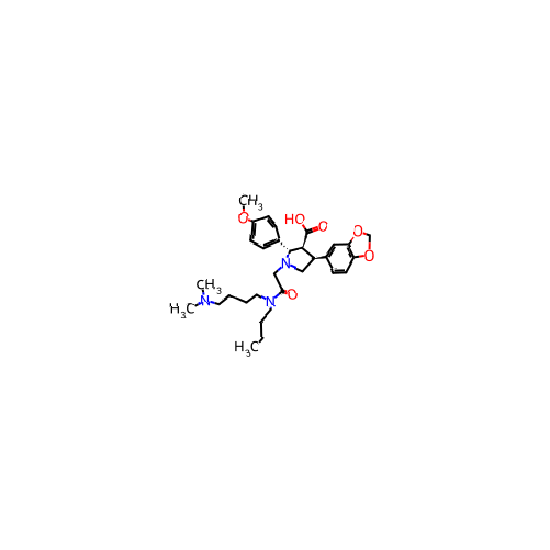 CCCCN(CCCCN(C)C)C(=O)CN1C[C@H](c2ccc3c(c2)OCO3)[C@H](C(=O)O)[C@H]1c1ccc(OC)cc1